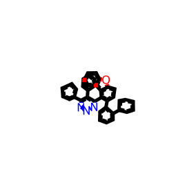 c1ccc(-c2ccccc2-c2ccc3oc4ccccc4c3c2-c2nnnc(-c3ccccc3)c2-c2ccccc2)cc1